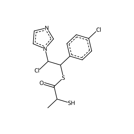 CC(S)C(=O)SC(c1ccc(Cl)cc1)C(Cl)n1ccnc1